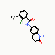 O=C1CCc2cc(NC(=O)c3cccc(C(F)(F)F)c3Cl)ccc2N1